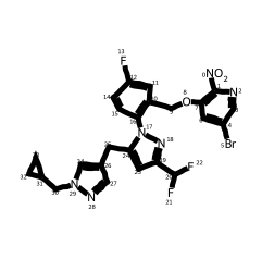 O=[N+]([O-])c1ncc(Br)cc1OCc1cc(F)ccc1-n1nc(C(F)F)cc1Cc1cnn(CC2CC2)c1